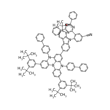 CC(C)(C)c1cc(-c2ccc3c(c2)N(c2ccc(-c4ccccc4)cc2)c2cc(-c4ccc5c(c4)c4ccc(C(C)(C)C)cc4n5-c4ccc(C#N)cc4-c4nc(-c5ccccc5)nc(-c5ccccc5)n4)cc4c2B3c2ccc(-c3cc(C(C)(C)C)cc(C(C)(C)C)c3)cc2N4c2ccc(-c3ccccc3)cc2)cc(C(C)(C)C)c1